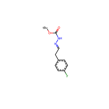 CC(C)(C)OC(=O)NN=CCc1ccc(F)cc1